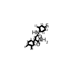 Cc1ccc(/C(=C/C(=O)Nc2ccc(F)cc2C)C(N)=O)cc1C